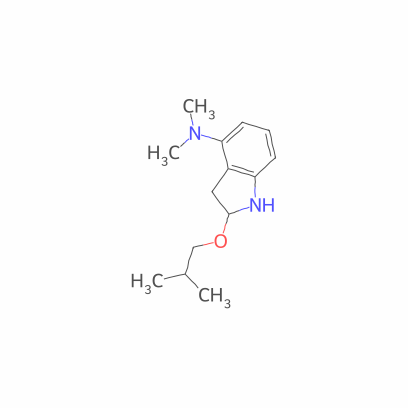 CC(C)COC1Cc2c(cccc2N(C)C)N1